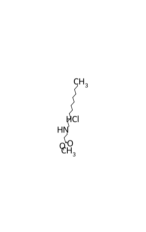 CCCCCCCCCCCCNCCC(=O)OC.Cl